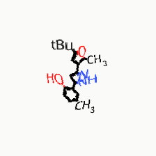 Cc1ccc(O)c(-c2cc(-c3cc(C(C)(C)C)oc3C)n[nH]2)c1